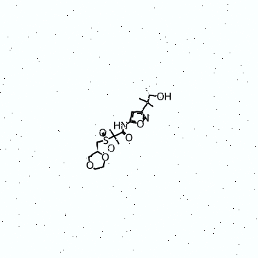 C[C@H](O)C(C)(C)c1cc(NC(=O)C(C)(C)S(=O)(=O)C[C@@H]2COCCO2)on1